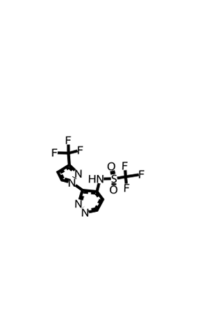 O=S(=O)(Nc1ccnnc1-n1ccc(C(F)(F)F)n1)C(F)(F)F